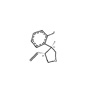 C=C[C@H]1COC[C@]1(C)c1ccccc1F